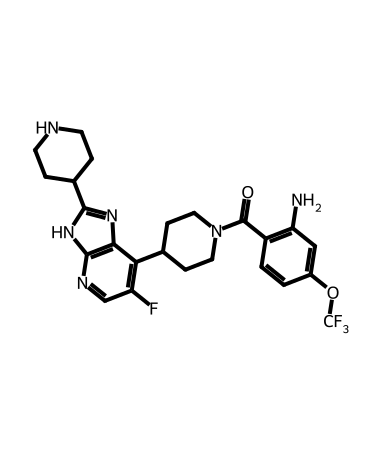 Nc1cc(OC(F)(F)F)ccc1C(=O)N1CCC(c2c(F)cnc3[nH]c(C4CCNCC4)nc23)CC1